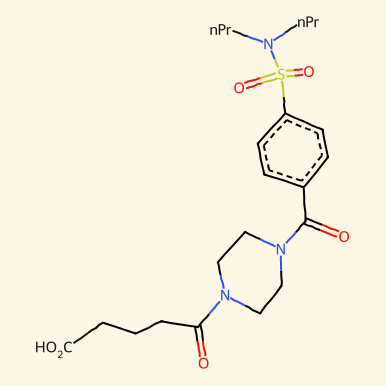 CCCN(CCC)S(=O)(=O)c1ccc(C(=O)N2CCN(C(=O)CCCC(=O)O)CC2)cc1